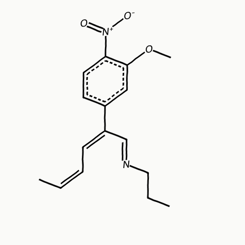 C\C=C/C=C(\C=N\CCC)c1ccc([N+](=O)[O-])c(OC)c1